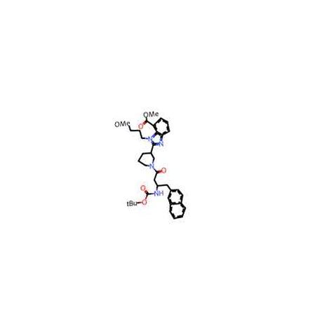 COCCCn1c(C2CCCN(C(=O)CC(Cc3ccc4ccccc4c3)NC(=O)OC(C)(C)C)C2)nc2cccc(C(=O)OC)c21